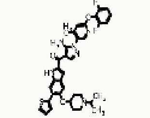 Cc1cc(Oc2c(F)cccc2F)ncc1-n1ncc(C(=O)c2cc3cc(OC4CCN(C(C)C)CC4)c(-c4cccs4)cc3[nH]2)c1N